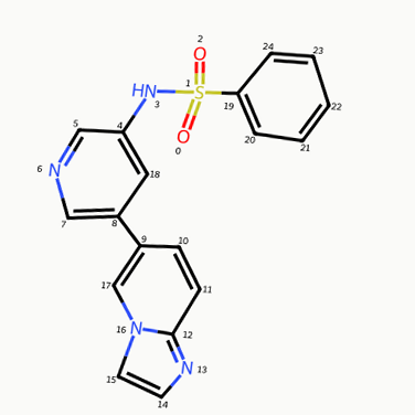 O=S(=O)(Nc1cncc(-c2ccc3nccn3c2)c1)c1ccccc1